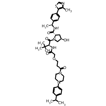 Cc1ncsc1-c1ccc([C@H](C)NC(=O)[C@@H]2C[C@@H](O)CN2C(=O)[C@@H](NC(=O)COCCC(=O)N2CCN(c3ccc(C(C)C)cc3)CC2)C(C)(C)C)cc1